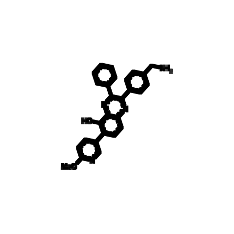 COc1ccc(-c2ccc3nc(-c4ccc(CN)cc4)c(-c4ccccc4)nc3c2O)cn1